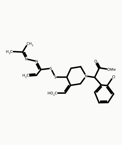 C=C/C(=N\N=C(C)C)SSC1CCN(C(C(=O)OC)c2ccccc2Cl)C/C1=C/C(=O)O